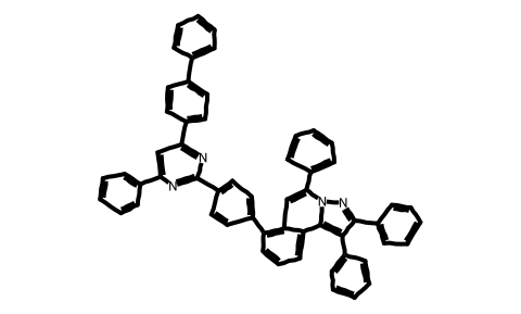 c1ccc(-c2ccc(-c3cc(-c4ccccc4)nc(-c4ccc(-c5cccc6c5cc(-c5ccccc5)n5nc(-c7ccccc7)c(-c7ccccc7)c65)cc4)n3)cc2)cc1